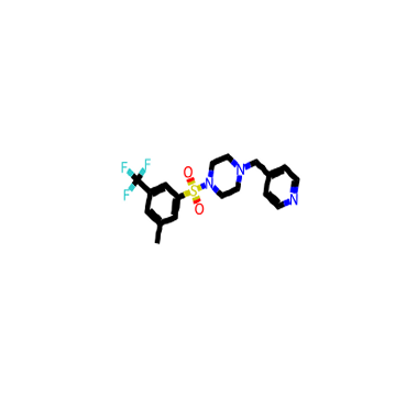 Cc1cc(C(F)(F)F)cc(S(=O)(=O)N2CCN(Cc3ccncc3)CC2)c1